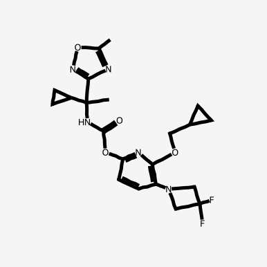 Cc1nc(C(C)(NC(=O)Oc2ccc(N3CC(F)(F)C3)c(OCC3CC3)n2)C2CC2)no1